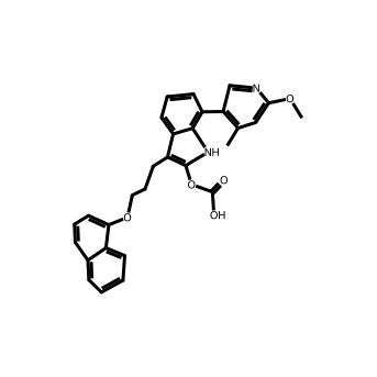 COc1cc(C)c(-c2cccc3c(CCCOc4cccc5ccccc45)c(OC(=O)O)[nH]c23)cn1